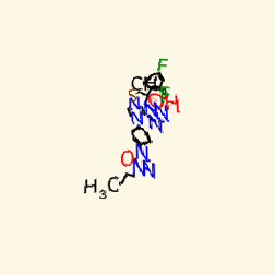 CCCCn1ncn(-c2ccc(N3CCN(S[C@H](C)[C@](O)(Cn4cncn4)c4ccc(F)cc4F)CC3)cc2)c1=O